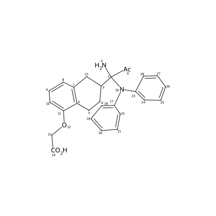 CC(=O)C(N)(C1CCc2c(cccc2OCC(=O)O)C1)N(c1ccccc1)c1ccccc1